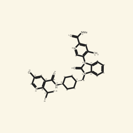 CNC(=O)c1cc(C)c(-n2c(=O)n(C[C@H]3CC[C@H](NC(=O)c4cc(Cl)cnc4C(F)F)CC3)c3ccccc32)cn1